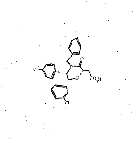 O=C(O)C[C@H]1O[C@H](c2cccc(Cl)c2)[C@H](c2ccc(Cl)cc2)N(Cc2ccccc2)C1=O